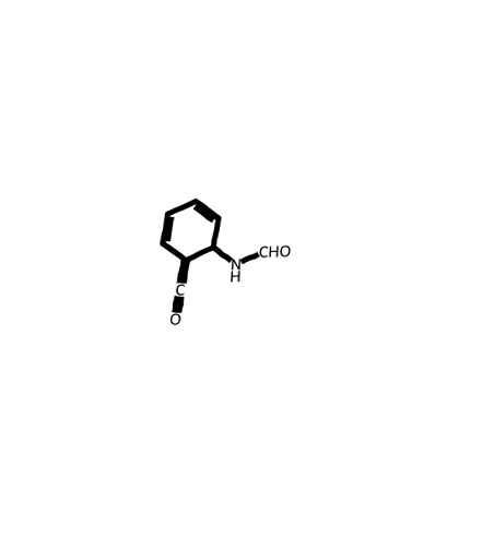 O=C=C1C=CC=CC1NC=O